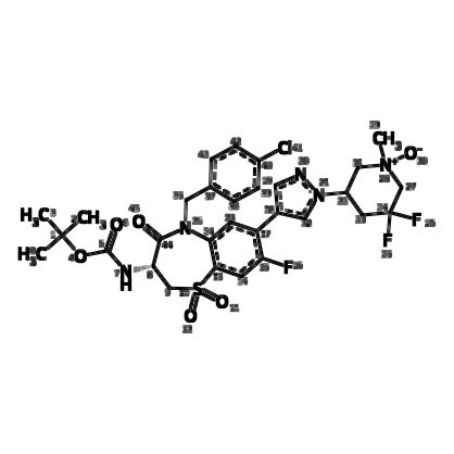 CC(C)(C)OC(=O)N[C@H]1CS(=O)(=O)c2cc(F)c(-c3cnn(C4CC(F)(F)C[N+](C)([O-])C4)c3)cc2N(Cc2ccc(Cl)cc2)C1=O